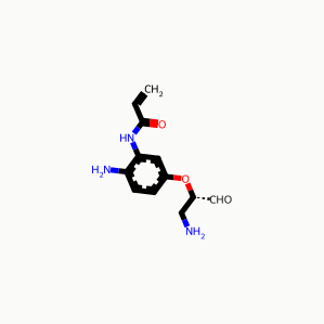 C=CC(=O)Nc1cc(O[C@H](C=O)CN)ccc1N